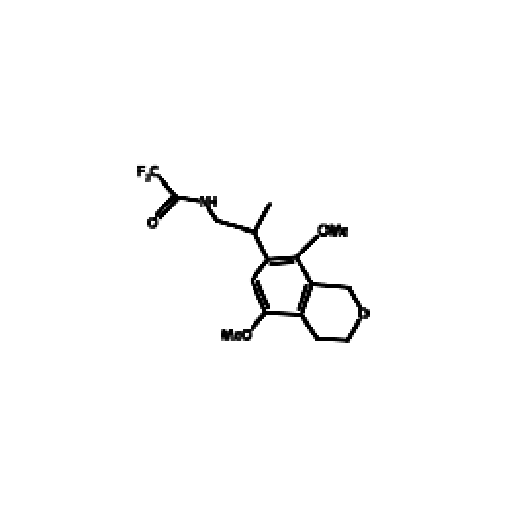 COc1cc(C(C)CNC(=O)C(F)(F)F)c(OC)c2c1CCOC2